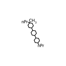 CCCC1CCC(C2CCC(C3CCC(C)(CCC)CC3)CC2)CC1